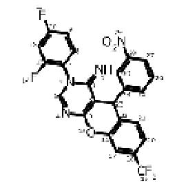 N=c1c2c(ncn1-c1ccc(F)cc1F)Oc1cc(C(F)(F)F)ccc1C2c1cccc([N+](=O)[O-])c1